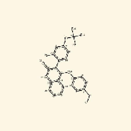 CCc1ccc(Oc2c(-c3ccc(OC(F)(F)F)cc3C)c(=O)oc3ccccc23)cc1